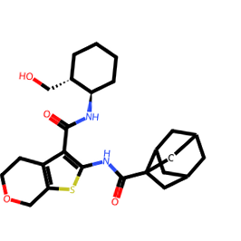 O=C(N[C@@H]1CCCC[C@H]1CO)c1c(NC(=O)C23CC4CC(CC2C4)C3)sc2c1CCOC2